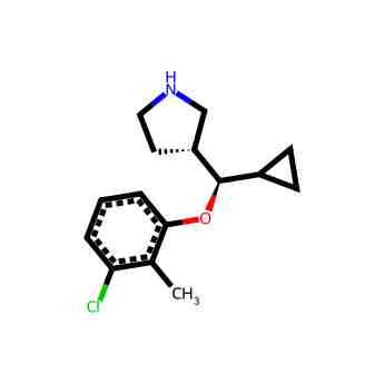 Cc1c(Cl)cccc1O[C@H](C1CC1)[C@@H]1CCNC1